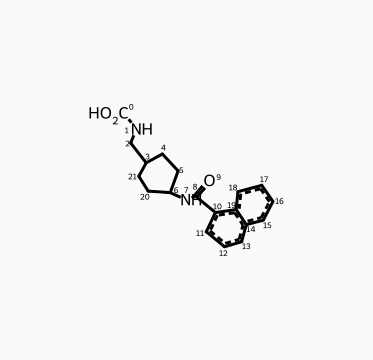 O=C(O)NCC1CCC(NC(=O)c2cccc3ccccc23)CC1